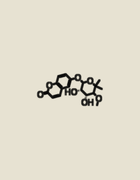 COC1[C@H](O)[C@H](O)C(Oc2ccc3oc(=O)ccc3c2)OC1(C)C